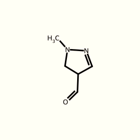 CN1CC(C=O)C=N1